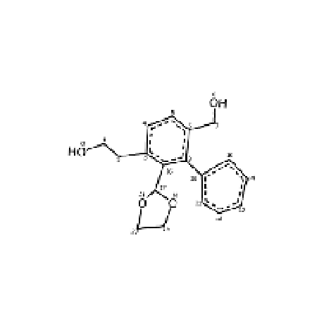 OCCc1ccc(CO)c(-c2ccccc2)c1C1OCCO1